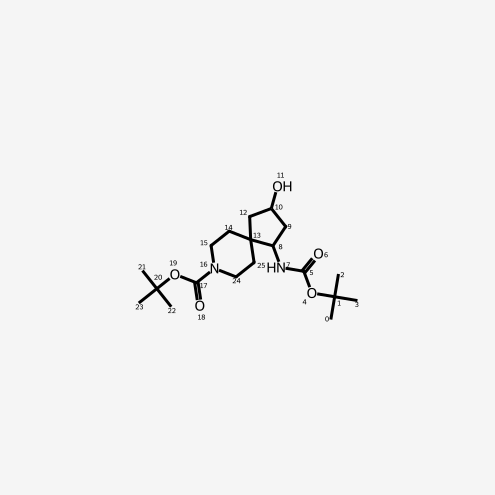 CC(C)(C)OC(=O)NC1CC(O)CC12CCN(C(=O)OC(C)(C)C)CC2